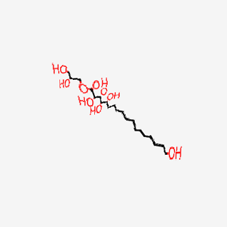 O=C(OCC(O)CO)C(O)C(O)C(O)C(O)CCCCCCCCCCCCCO